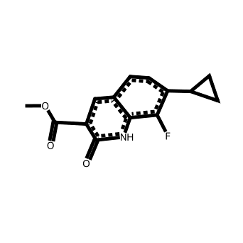 COC(=O)c1cc2ccc(C3CC3)c(F)c2[nH]c1=O